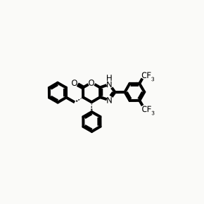 O=C1Oc2[nH]c(-c3cc(C(F)(F)F)cc(C(F)(F)F)c3)nc2[C@H](c2ccccc2)[C@@H]1Cc1ccccc1